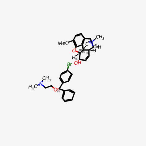 CN(C)CCO[C@H](c1ccccc1)c1ccc(Br)cc1.COc1ccc2c3c1O[C@H]1[C@@H](O)C=C[C@H]4[C@@H](C2)N(C)CC[C@@]341